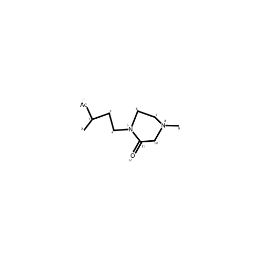 CC(=O)C(C)CCN1CCN(C)CC1=O